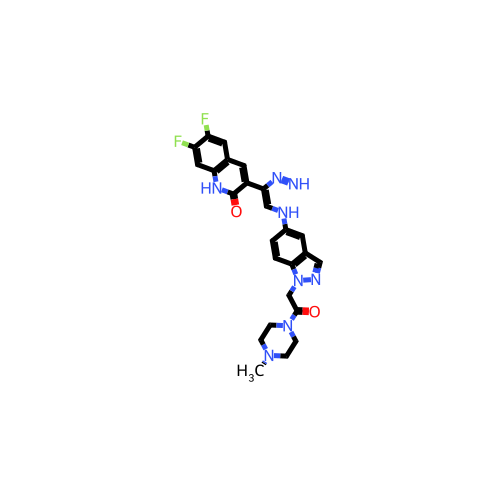 CN1CCN(C(=O)Cn2ncc3cc(N/C=C(\N=N)c4cc5cc(F)c(F)cc5[nH]c4=O)ccc32)CC1